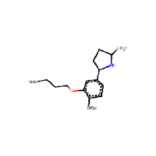 COCCCOc1cc(C2CCC(C(=O)O)N2)ccc1OC